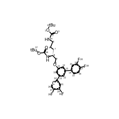 CC(C)(C)OC(=O)NCCC[C@H](COc1cc(-c2ccc(F)c(F)c2)cc(-c2ccc(F)c(F)c2)c1)NC(=O)OC(C)(C)C